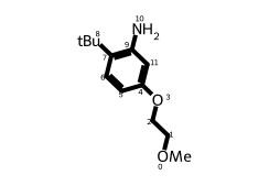 COCCOc1ccc(C(C)(C)C)c(N)c1